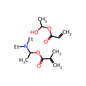 C=C(C)C(=O)OC(C)N(CC)CC.C=CC(=O)OC(C)O